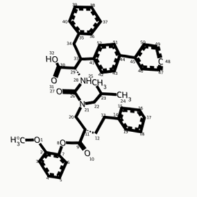 COc1ccccc1OC(=O)[C@@H](CCc1ccccc1)CN(CC(C)C)C(=O)N[C@H](C(=O)O)C(Cc1ccccc1)c1ccc(-c2ccccc2)cc1